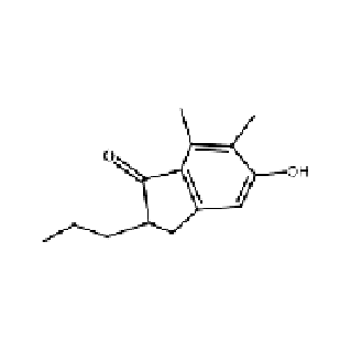 CCCC1Cc2cc(O)c(C)c(C)c2C1=O